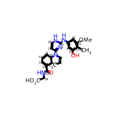 C/C=C\N(C1=NC(Nc2cc(O)c(C)c(OC)c2)NC=C1)C1C=CC=C(C(=O)NCC(=O)O)C1